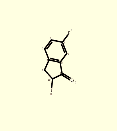 O=C1c2cc(F)ccc2CC1I